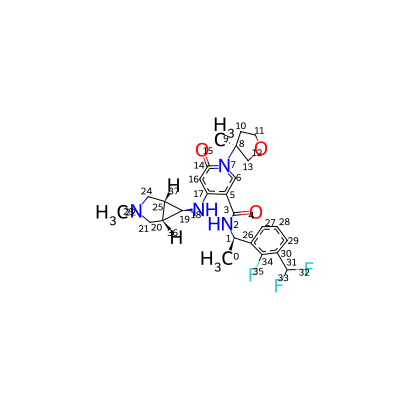 C[C@@H](NC(=O)c1cn([C@@]2(C)CCOC2)c(=O)cc1N[C@H]1[C@@H]2CN(C)C[C@@H]21)c1cccc(C(F)F)c1F